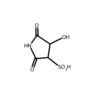 O=C1NC(=O)C(S(=O)(=O)O)C1O